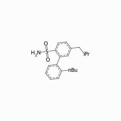 CCCCc1ccccc1-c1cc(CC(C)C)ccc1S(N)(=O)=O